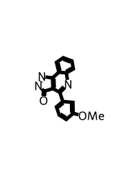 COc1cccc(-c2nc3ccccc3c3c2C(=O)N=N3)c1